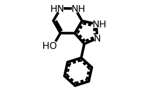 OC1=CNNc2[nH]nc(-c3ccccc3)c21